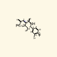 C=C(/C=C(/C(=C)NCc1ccc(F)c(C)c1)C(C)CC)CF